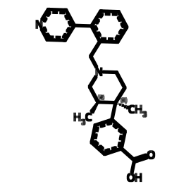 C[C@H]1CN(Cc2ccccc2-c2ccncc2)CC[C@@]1(C)c1cccc(C(=O)O)c1